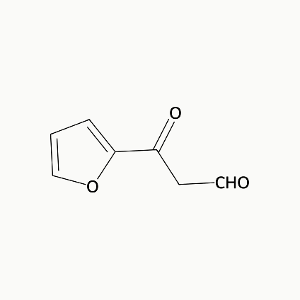 O=CCC(=O)c1ccco1